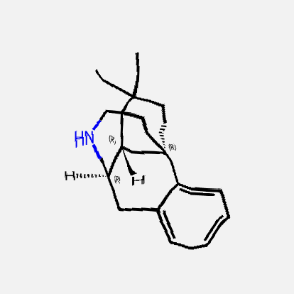 CC1(C)CC[C@]23CCN[C@H](Cc4ccccc42)[C@@H]3C1